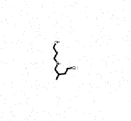 CC(CCO)CNCCCO